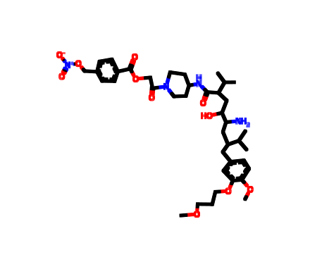 COCCCOc1cc(CC(CC(N)C(O)CC(C(=O)NC2CCN(C(=O)COC(=O)c3ccc(CO[N+](=O)[O-])cc3)CC2)C(C)C)C(C)C)ccc1OC